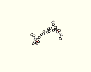 C1=CC2=CC(c3ccc(-c4ccccc4)c(N(c4ccc(-c5ccc6c(ccc7c(-c8ccc9ccc%10c(oc%11cccc(-c%12cccc(N(c%13ccc(-c%14cccc(-c%15ccccc%15)c%14)cc%13)c%13cc(-c%14ccc%15ccccc%15c%14)ccc%13-c%13ccccc%13)c%12)c%11%10)c9c8)cccc76)c5)cc4)c4cccc5oc6c7ccccc7ccc6c45)c3)=CCC2C=C1